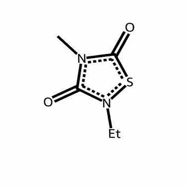 CCn1sc(=O)n(C)c1=O